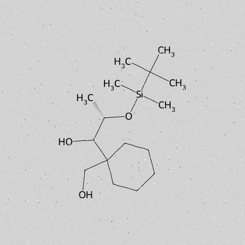 C[C@H](O[Si](C)(C)C(C)(C)C)C(O)C1(CO)CCCCC1